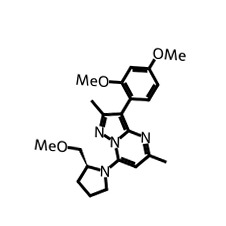 COC[C@@H]1CCCN1c1cc(C)nc2c(-c3ccc(OC)cc3OC)c(C)nn12